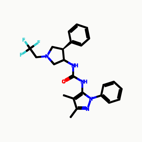 Cc1nn(-c2ccccc2)c(NC(=O)NC2CN(CC(F)(F)F)C[C@H]2c2ccccc2)c1C